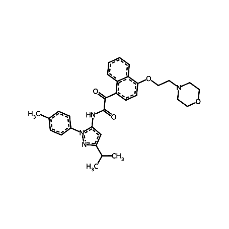 Cc1ccc(-n2nc(C(C)C)cc2NC(=O)C(=O)c2ccc(OCCN3CCOCC3)c3ccccc23)cc1